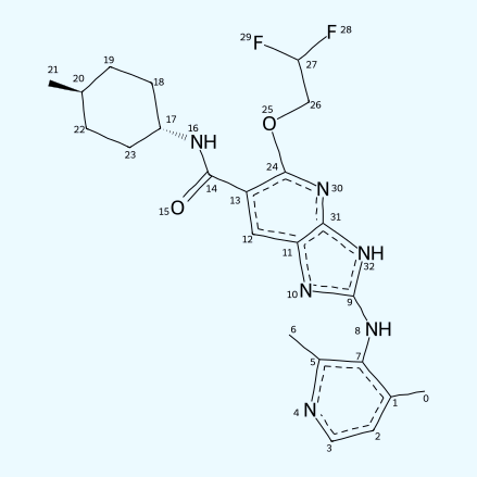 Cc1ccnc(C)c1Nc1nc2cc(C(=O)N[C@H]3CC[C@H](C)CC3)c(OCC(F)F)nc2[nH]1